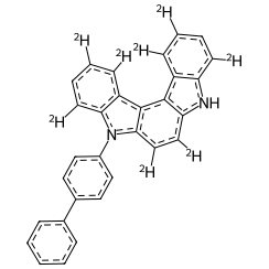 [2H]c1cc([2H])c2[nH]c3c([2H])c([2H])c4c(c5c([2H])c([2H])cc([2H])c5n4-c4ccc(-c5ccccc5)cc4)c3c2c1[2H]